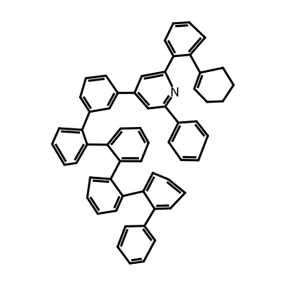 C1=C(c2ccccc2-c2cc(-c3cccc(-c4ccccc4-c4ccccc4-c4ccccc4-c4ccccc4-c4ccccc4)c3)cc(-c3ccccc3)n2)CCCC1